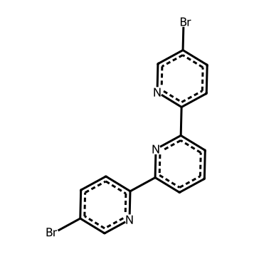 Brc1ccc(-c2cccc(-c3ccc(Br)cn3)n2)nc1